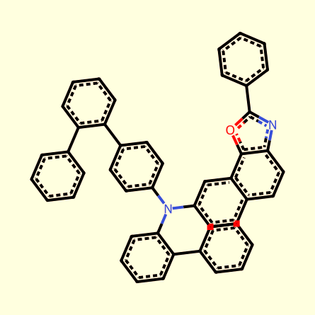 c1ccc(-c2nc3ccc4ccc(N(c5ccc(-c6ccccc6-c6ccccc6)cc5)c5ccccc5-c5ccccc5)cc4c3o2)cc1